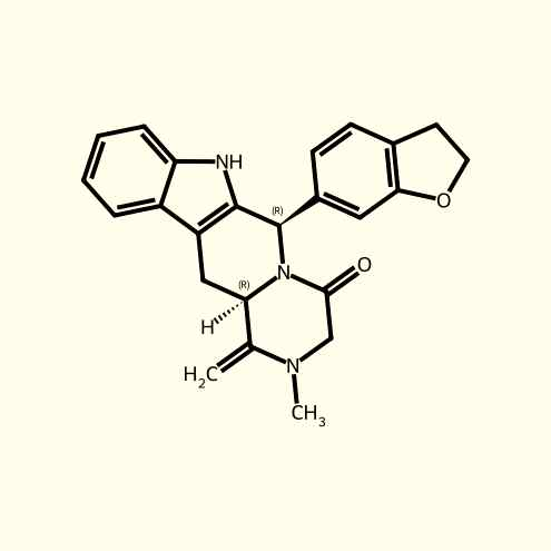 C=C1[C@H]2Cc3c([nH]c4ccccc34)[C@@H](c3ccc4c(c3)OCC4)N2C(=O)CN1C